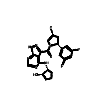 O=C(c1n[nH]c2ncnc(N[C@@H]3CCC[C@H]3O)c12)N1C[C@@H](F)C[C@@H]1c1cc(F)cc(F)c1